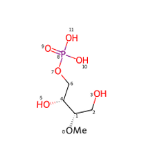 CO[C@@H](CO)[C@H](O)COP(=O)(O)O